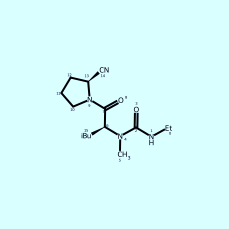 CCNC(=O)N(C)[C@H](C(=O)N1CCC[C@H]1C#N)C(C)CC